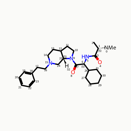 CN[C@@H](C)C(=O)N[C@H](C(=O)N1CCC2CCN(CCc3ccccc3)C[C@H]21)C1CCCCC1